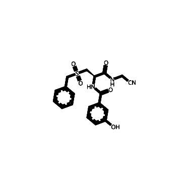 N#CCNC(=O)[C@H](CS(=O)(=O)Cc1ccccc1)NC(=O)c1cccc(O)c1